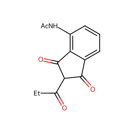 CCC(=O)C1C(=O)c2cccc(NC(C)=O)c2C1=O